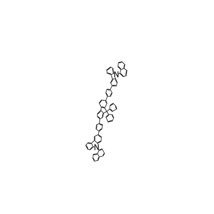 c1ccc(C2(c3ccccc3)c3cc(-c4ccc(-c5ccc6c(c5)c5ccccc5n6-c5cccc6ccccc56)cc4)ccc3-c3ccc(-c4ccc(-c5ccc6c(c5)c5ccccc5n6-c5cccc6ccccc56)cc4)cc32)cc1